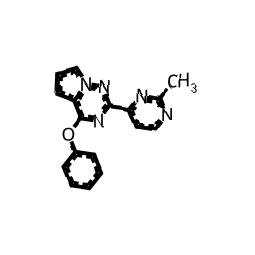 Cc1nccc(-c2nc(Oc3ccccc3)c3cccn3n2)n1